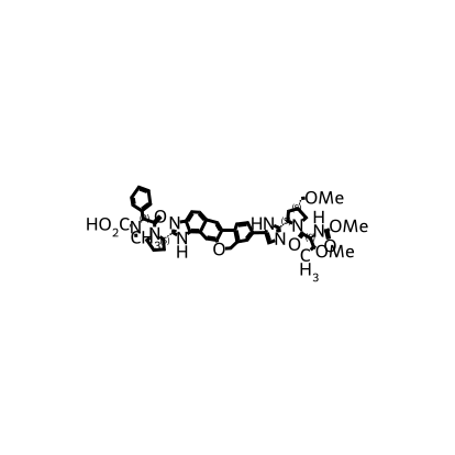 COC[C@H]1C[C@@H](c2ncc(-c3ccc4c(c3)COc3cc5c(ccc6nc([C@@H]7CCCN7C(=O)[C@@H](c7ccccc7)N(C)C(=O)O)[nH]c65)cc3-4)[nH]2)N(C(=O)[C@@H](NC(=O)OC)C(C)OC)C1